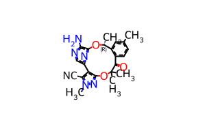 Cc1ccc2c(c1)[C@@H](C)Oc1nc(cnc1N)-c1c(nn(C)c1C#N)OC(C)(C)C2=O